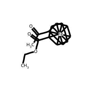 CCOC(=O)[C]12[CH]3[CH]4[CH]5[CH]1[Fe]45321678[CH]2[CH]1[CH]6[C]7(C(C)=O)[CH]28